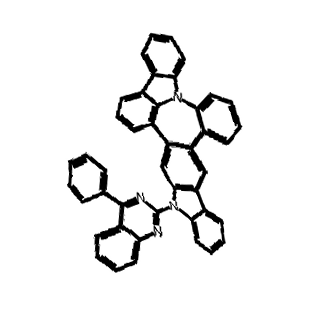 c1ccc(-c2nc(-n3c4ccccc4c4cc5c(cc43)-c3cccc4c6ccccc6n(c34)-c3ccccc3-5)nc3ccccc23)cc1